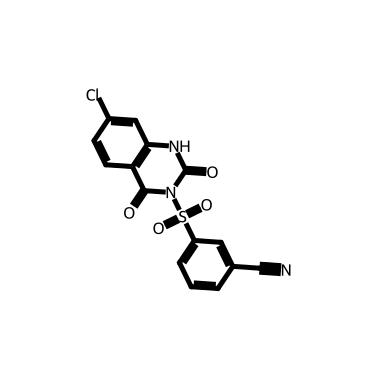 N#Cc1cccc(S(=O)(=O)n2c(=O)[nH]c3cc(Cl)ccc3c2=O)c1